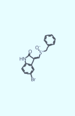 O=C1Nc2ccc(Br)cc2C1=C[S+]([O-])Cc1ccccc1